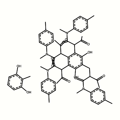 CC(=O)C(Cc1c(O)c(C(C(C)=O)C(=O)N(C)c2ccc(C)cc2)c(C(C(C)=O)C(=O)N(C)c2ccc(C)cc2)c(C(C(C)=O)C(=O)N(C)c2ccc(C)cc2)c1O)C(=O)N(C)c1ccc(C)cc1.Cc1c(O)cccc1O